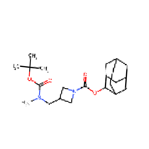 CN(CC1CN(C(=O)OC2C3CC4CC(C3)CC2C4)C1)C(=O)OC(C)(C)C